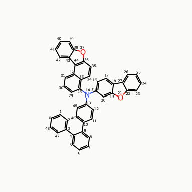 c1ccc(-c2ccccc2-c2ccc(N(c3ccc4c(c3)oc3ccccc34)c3cccc4c3ccc3oc5ccccc5c34)cc2)cc1